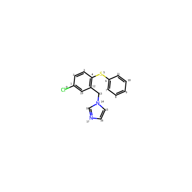 Clc1ccc(Sc2ccccc2)c(Cn2ccnc2)c1